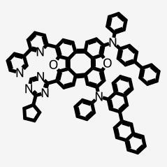 c1ccc(-c2ccc(N(c3ccccc3)c3ccc4c5ccc(-c6cccc(-c7cccnc7)n6)c6oc7c(-c8ncnc(C9CCCC9)n8)ccc(c8cc(N(c9ccccc9)c9cc(-c%10ccc%11ccccc%11c%10)cc%10ccccc9%10)cc9oc3c4c98)c7c65)cc2)cc1